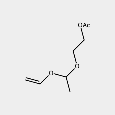 C=COC(C)OCCOC(C)=O